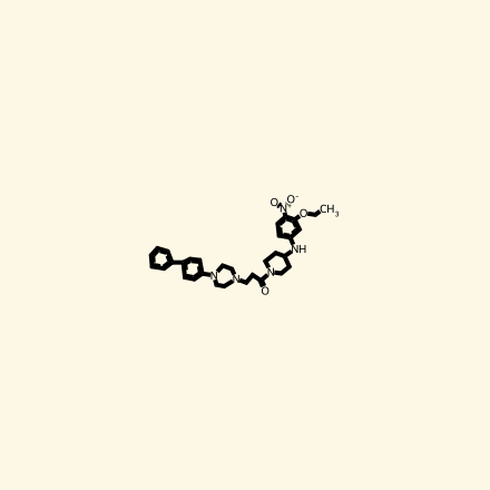 CCOc1cc(NC2CCN(C(=O)CCN3CCN(c4ccc(-c5ccccc5)cc4)CC3)CC2)ccc1[N+](=O)[O-]